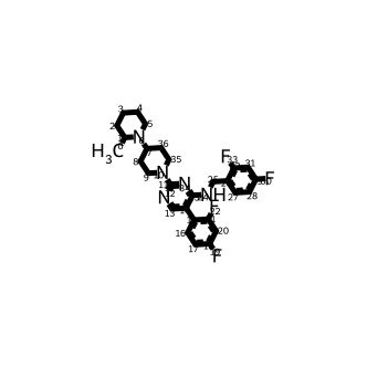 CC1CCCCN1C1CCN(c2ncc(-c3ccc(F)cc3F)c(NCc3ccc(F)cc3F)n2)CC1